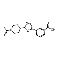 CC(=O)N1CCC(C2OON(c3cccc(C(=O)O)c3)O2)CC1